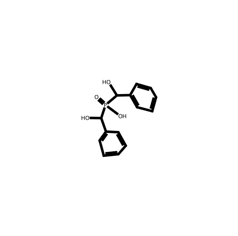 O=P(O)(C(O)c1ccccc1)C(O)c1ccccc1